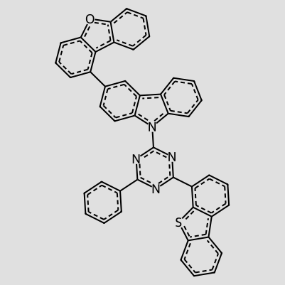 c1ccc(-c2nc(-c3cccc4c3sc3ccccc34)nc(-n3c4ccccc4c4cc(-c5cccc6oc7ccccc7c56)ccc43)n2)cc1